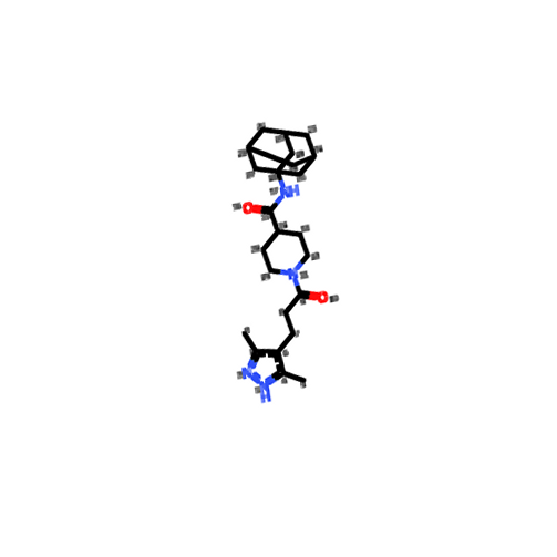 Cc1n[nH]c(C)c1CCC(=O)N1CCC(C(=O)NC23CC4CC(CC(C4)C2)C3)CC1